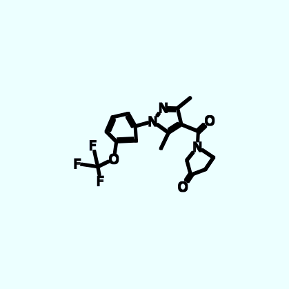 Cc1nn(-c2cccc(OC(F)(F)F)c2)c(C)c1C(=O)N1CCC(=O)C1